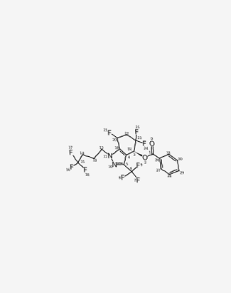 O=C(O[C@H]1c2c(C(F)(F)F)nn(CCCC(F)(F)F)c2C(F)CC1(F)F)c1ccccc1